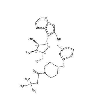 CC(C)(C)OC(=O)N1CCC(Oc2cccc(CNc3nc4ccccc4n3[C@@H]3O[C@H](CO)[C@@H](O)[C@H]3O)c2)CC1